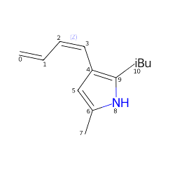 C=C/C=C\c1cc(C)[nH]c1C(C)CC